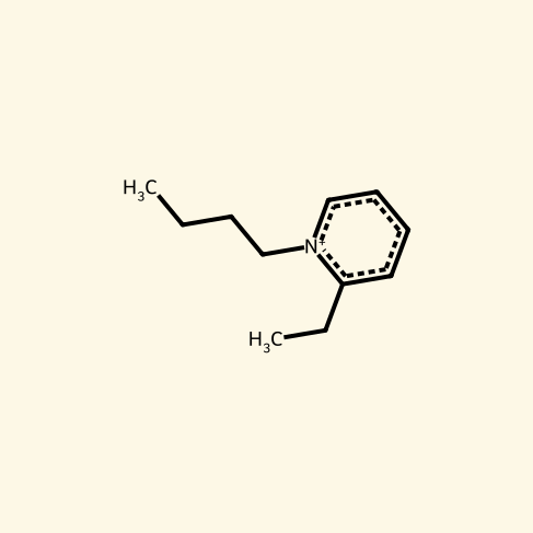 CCCC[n+]1ccccc1CC